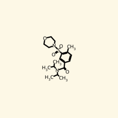 Cc1ccc(C(=O)N(C(C)C)C(C)C)cc1S(=O)(=O)N1CCOCC1